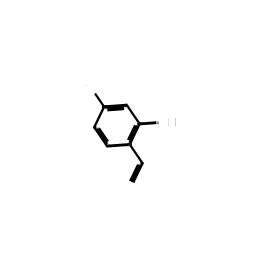 C=Cc1ccc(Br)cc1C=O